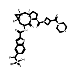 O=C(N[C@H]1C[C@@H]2C[C@@H]2C[C@H]2CC[C@@H](C(=O)N3CC(C(=O)N4CCOCC4)C3)N2C1=O)c1cc2cc([C@H](F)P(=O)(O)O)ccc2s1